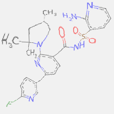 C[C@@H]1CN(c2nc(-c3ccc(F)nc3)ccc2C(=O)NS(=O)(=O)c2cccnc2N)C(C)(C)C1